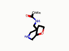 COC(=O)NCC12CCOC1CNC2